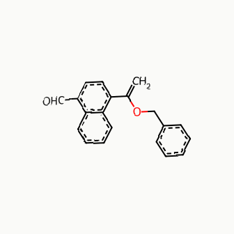 C=C(OCc1ccccc1)c1ccc(C=O)c2ccccc12